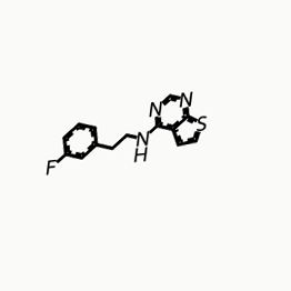 Fc1cccc(CCNc2ncnc3sccc23)c1